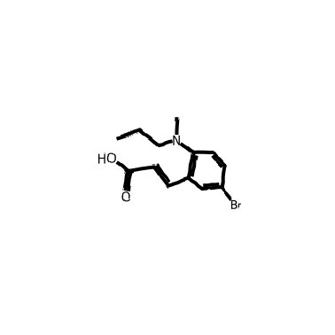 CCCN(C)c1ccc(Br)cc1/C=C/C(=O)O